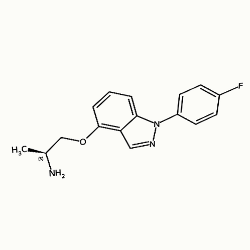 C[C@H](N)COc1cccc2c1cnn2-c1ccc(F)cc1